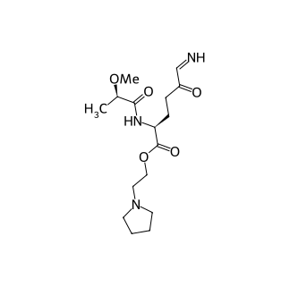 CO[C@H](C)C(=O)N[C@@H](CCC(=O)C=N)C(=O)OCCN1CCCC1